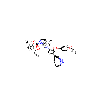 CCN(C[C@@H]1CCCN1C(=O)OC(C)(C)C)c1ccc(-c2cccnc2)cc1Oc1ccc(OC)cc1